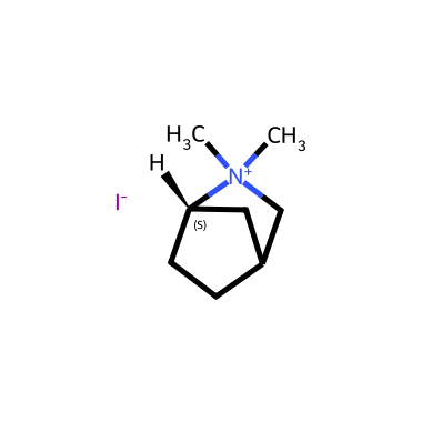 C[N+]1(C)CC2CC[C@H]1C2.[I-]